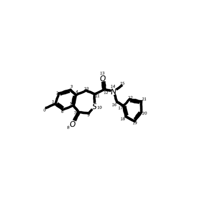 Cc1ccc2c(c1)C(=O)CSC(C(=O)N(C)Cc1ccccc1)C2